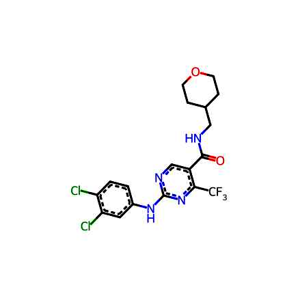 O=C(NCC1CCOCC1)c1cnc(Nc2ccc(Cl)c(Cl)c2)nc1C(F)(F)F